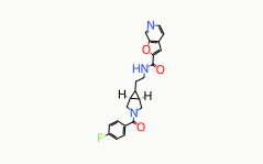 O=C(NCCC1[C@H]2CN(C(=O)c3ccc(F)cc3)C[C@@H]12)c1cc2ccncc2o1